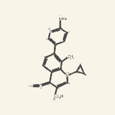 CNc1ccc(-c2ccc3c(c2C)N(C2CC2)C=C(C(=O)O)C3=C=O)cn1